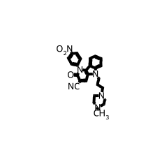 CN1CCN(CCCn2c3ccccc3c3c2cc(C#N)c(=O)n3-c2ccc([N+](=O)[O-])cc2)CC1